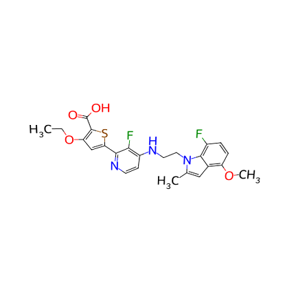 CCOc1cc(-c2nccc(NCCn3c(C)cc4c(OC)ccc(F)c43)c2F)sc1C(=O)O